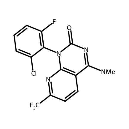 CNc1nc(=O)n(-c2c(F)cccc2Cl)c2nc(C(F)(F)F)ccc12